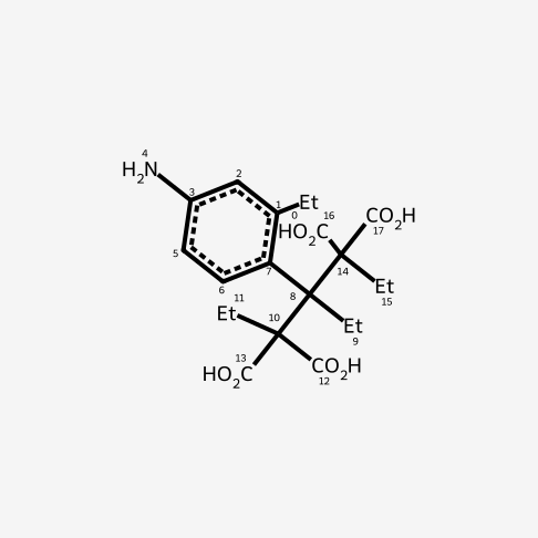 CCc1cc(N)ccc1C(CC)(C(CC)(C(=O)O)C(=O)O)C(CC)(C(=O)O)C(=O)O